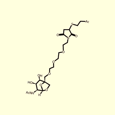 CC(=O)CCSC1CC(=O)N(CCOCCOCCOC[C@@]23CO[C@@H](O2)[C@@H](NC(C)=O)[C@@H](O)[C@H]3O)C1=O